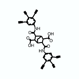 C#Cc1cc(NC(=O)C2C3CC(C2C(=O)O)C(C(=O)Nc2cc(C#C)c(C#C)c(C#C)c2)C3C(=O)O)cc(C#C)c1C#C